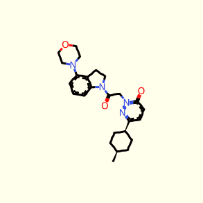 C[C@H]1CC[C@@H](c2ccc(=O)n(CC(=O)N3CCc4c(N5CCOCC5)cccc43)n2)CC1